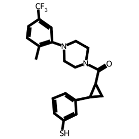 Cc1ccc(C(F)(F)F)cc1N1CCN(C(=O)C2CC2c2cccc(S)c2)CC1